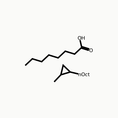 CCCCCCCC(=O)O.CCCCCCCCC1CC1C